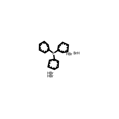 Br.Br.Br.Br.c1ccc(P(c2ccccc2)c2ccccc2)cc1